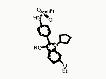 CCCS(=O)(=O)Nc1ccc(-c2c(C#N)c3ccc(OCC)cc3n2C2CCCC2)cc1